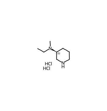 CCN(C)[C@H]1CCCNC1.Cl.Cl